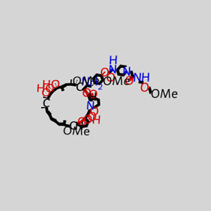 COCCOCCNC(=O)CN1CCC(NC(=O)O[C@@H]2CC[C@@H](C[C@@H](N)[C@@H]3C[C@@H](OC)[C@H](C)/C=C(\C)[C@@H](O)[C@@H](O)C(=O)[C@H](C)C[C@H](C)/C=C/C=C/C=C(\C)[C@@H](OC)C[C@@H]4CC[C@@H](C)[C@@](O)(O4)C(=O)C(=O)N4CCCC[C@H]4C(=O)O3)C[C@H]2OC)CC1